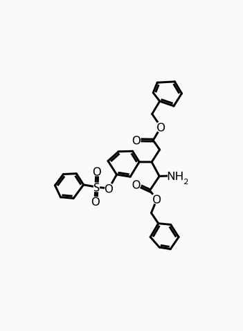 NC(C(=O)OCc1ccccc1)C(CC(=O)OCc1ccccc1)c1cccc(OS(=O)(=O)c2ccccc2)c1